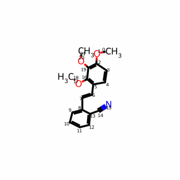 COc1ccc(C=Cc2ccccc2C#N)c(OC)c1OC